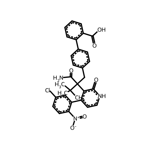 CC(C)(C)C(Cc1ccc(-c2ccccc2C(=O)O)cc1)(C(N)=O)c1c(-c2cc(Cl)ccc2[N+](=O)[O-])cc[nH]c1=O